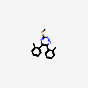 CSc1nnc(-c2ccccc2C)c(-c2ccccc2C)n1